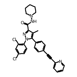 Cc1c(C(=O)NN2CCCCC2)nn(-c2ccc(Cl)cc2Cl)c1-c1ccc(C#Cc2ccccn2)cc1